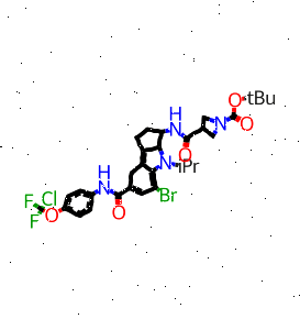 CC(C)N1C2=C(Br)C=C(C(=O)Nc3ccc(OC(F)(F)Cl)cc3)CC2=C2CCC(NC(=O)C3CN(C(=O)OC(C)(C)C)C3)C21